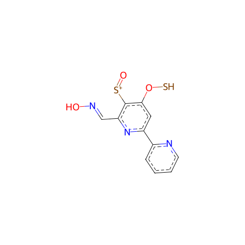 O=[S+]c1c(OS)cc(-c2ccccn2)nc1/C=N/O